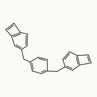 C1=Cc2cc(Cc3ccc(Cc4ccc5c(c4)C=C5)cc3)ccc21